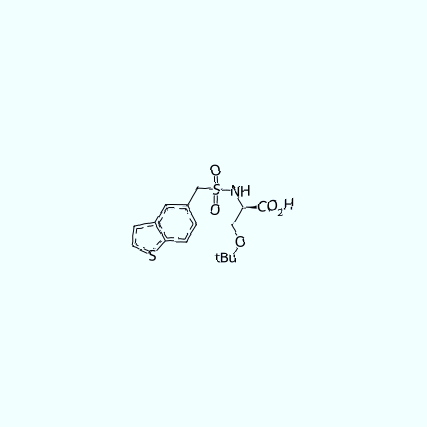 CC(C)(C)OC[C@@H](NS(=O)(=O)Cc1ccc2sccc2c1)C(=O)O